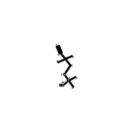 C#CC(C)(C)CO[Si](C)(C)C(C)(C)C